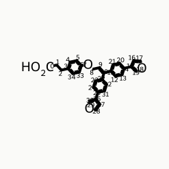 O=C(O)CCc1ccc(OCC=C(c2ccc(-c3ccoc3)cc2)c2ccc(-c3ccoc3)cc2)cc1